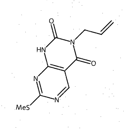 C=CCn1c(=O)[nH]c2nc(SC)ncc2c1=O